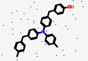 Cc1ccc(Cc2ccc(N(c3ccc(C)cc3)c3ccc(Cc4ccc(O)cc4)cc3)cc2)cc1